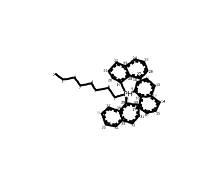 CCCCCCCC[PH](c1cccc2ccccc12)(c1cccc2ccccc12)c1cccc2ccccc12